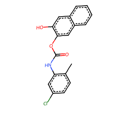 Cc1ccc(Cl)cc1NC(=O)Oc1cc2ccccc2cc1O